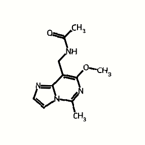 COc1nc(C)n2ccnc2c1CNC(C)=O